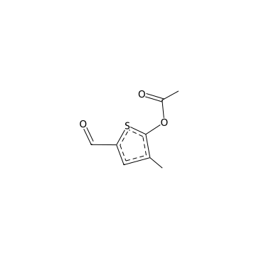 CC(=O)Oc1sc(C=O)cc1C